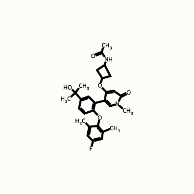 CC(=O)NC1CC(Oc2cc(=O)n(C)cc2-c2cc(C(C)(C)O)ccc2Oc2c(C)cc(F)cc2C)C1